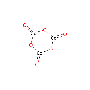 [O]=[Co]1[O][Co](=[O])[O][Co](=[O])[O]1